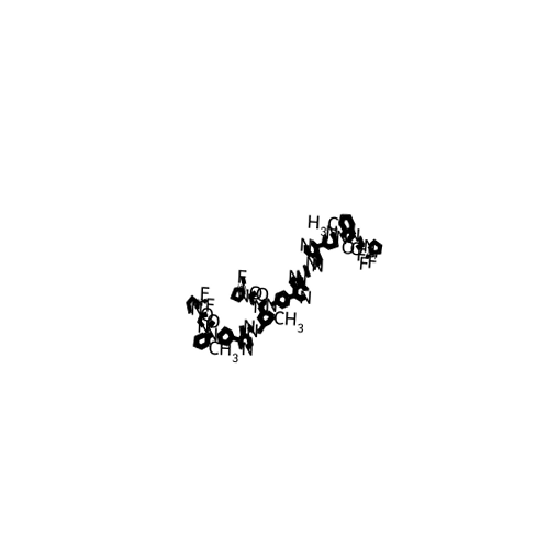 Cc1cc(Cn2ncc3c(-c4ccc(-n5c(=O)n(CC(=O)N6CCC[C@H]6C(F)F)c6cccc(C)c65)cc4)cncc32)cc2c1n(-c1ccc(-c3cncc4c3cnn4CCn3ncc4c(-c5ccc(-n6c(=O)n(CC(=O)N7CCC[C@H]7C(F)(F)F)c7cccc(C)c76)nc5)cncc43)cc1)c(=O)n2CC(=O)N1CCC[C@H]1CF